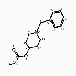 CNC(=O)OC1CCN(Cc2ccccc2)CC1